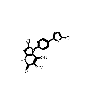 N#Cc1c(O)c2c(cc(Cl)n2-c2ccc(-c3ccc(Cl)s3)cc2)[nH]c1=O